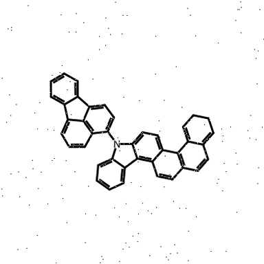 C1=c2ccc3ccc4c(ccc5c4c4ccccc4n5-c4ccc5c6c(cccc46)-c4ccccc4-5)c3c2=CCC1